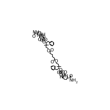 CC(C)(CCOC(=O)CCCCC(=O)OCCC(C)(C)C(Cc1ccccc1)OS(=O)(=O)ON1C(=O)N2C[C@H]1CC[C@H]2C(N)=O)C(Cc1ccccc1)OS(=O)(=O)ON1C(=O)N2C[C@H]1CC[C@H]2C(N)=O